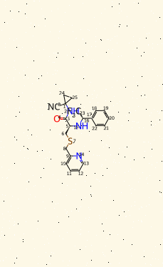 N#CC1(NC(=O)[C@H](CSCc2ccccn2)N[C@H](c2ccccc2)C(F)(F)F)CC1